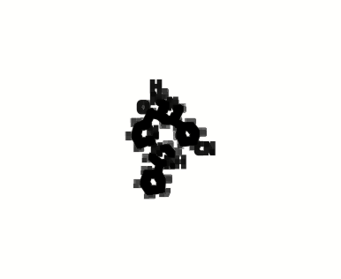 N#Cc1ccc(-c2cnc(N)c(C(=O)c3cccc(N4CCNC(c5ccccc5)C4)n3)c2)cc1